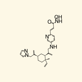 C=C[C@]1(C)CC[C@@H](C(=C)Cn2cccn2)C[C@H]1C(=C)CNc1ccc(/C=C/C(=O)NO)nc1